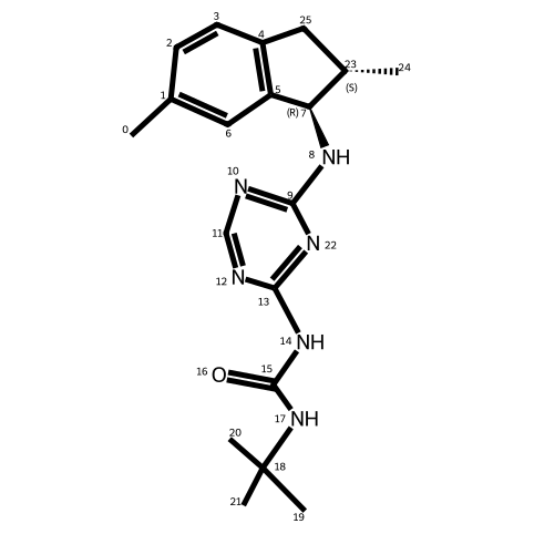 Cc1ccc2c(c1)[C@H](Nc1ncnc(NC(=O)NC(C)(C)C)n1)[C@@H](C)C2